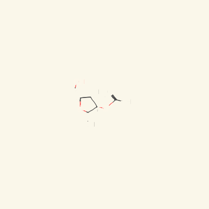 C=C(C)O[C@@H]1C[C@@H](CO)O[C@H]1C